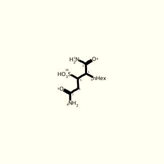 CCCCCCC(C(N)=O)C(CC(N)=O)S(=O)(=O)O